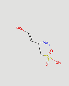 NC(C=CO)CS(=O)(=O)O